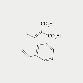 C=Cc1ccccc1.CC=C(C(=O)OCC)C(=O)OCC